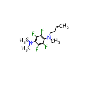 C=CCCN(C)c1c(F)c(F)c(N(C)C)c(F)c1F